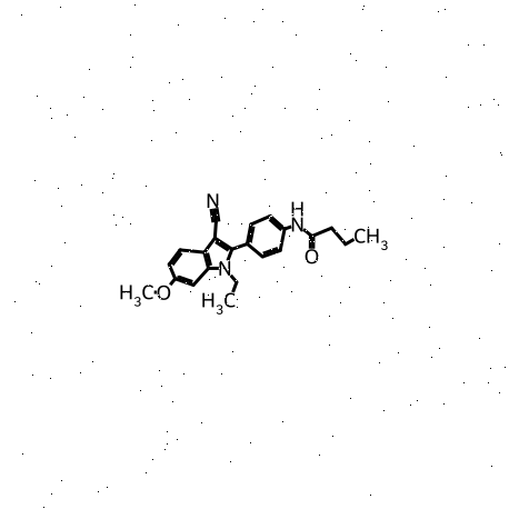 CCCC(=O)Nc1ccc(-c2c(C#N)c3ccc(OC)cc3n2CC)cc1